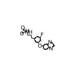 O=[SH](=O)NCCCc1cc(F)cc(Oc2ccc3nccnc3c2)c1